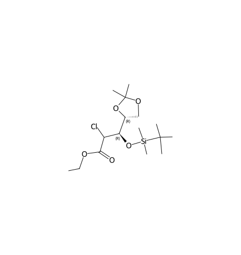 CCOC(=O)C(Cl)[C@H](O[Si](C)(C)C(C)(C)C)[C@H]1COC(C)(C)O1